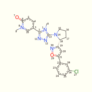 Cn1c(-c2ccc(=O)n(C)c2)nnc1N1CCC[C@@H]1c1cc(-c2cccc(Cl)c2)on1